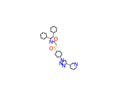 [O-][S+](Cc1nc(-c2ccccc2)c(-c2ccccc2)o1)c1ccc(-n2cc(-c3cccnc3)nn2)cc1